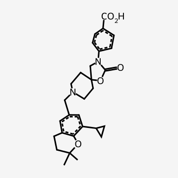 CC1(C)CCc2cc(CN3CCC4(CC3)CN(c3ccc(C(=O)O)cc3)C(=O)O4)cc(C3CC3)c2O1